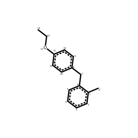 [CH2]c1ccccc1Cc1ccc(OCC)cc1